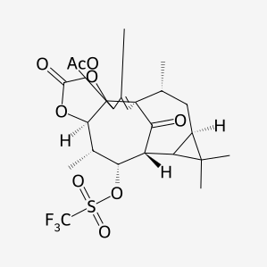 CC(=O)OC1C(C)=C[C@@]23C(=O)[C@H](C4[C@@H](C[C@H]2C)C4(C)C)[C@H](OS(=O)(=O)C(F)(F)F)[C@H](C)[C@H]2OC(=O)OC123